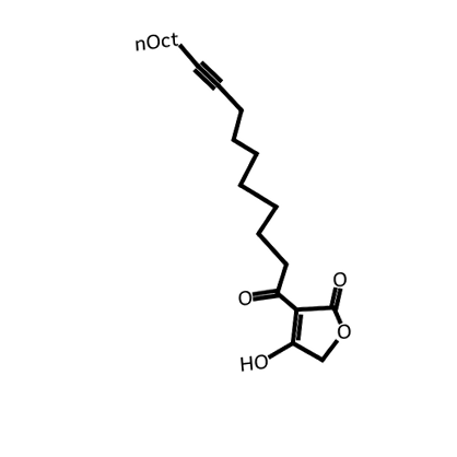 CCCCCCCCC#CCCCCCCCC(=O)C1=C(O)COC1=O